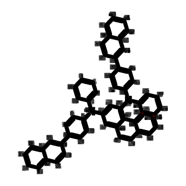 c1ccc(N(c2ccc(-c3ccc4ccccc4c3)cc2)c2cc(N(c3ccccc3)c3ccc(-c4ccc5ccccc5c4)cc3)c3c(ccc4ccccc43)c2)cc1